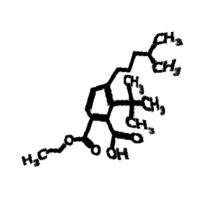 CCOC(=O)c1ccc(CCCC(C)C)c(C(C)(C)C)c1C(=O)O